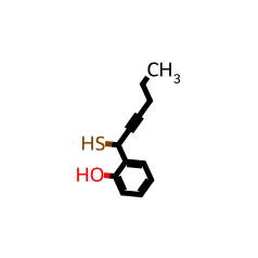 CCCC#CC(S)c1ccccc1O